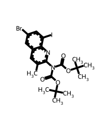 Cc1cc2cc(Br)cc(I)c2nc1N(C(=O)OC(C)(C)C)C(=O)OC(C)(C)C